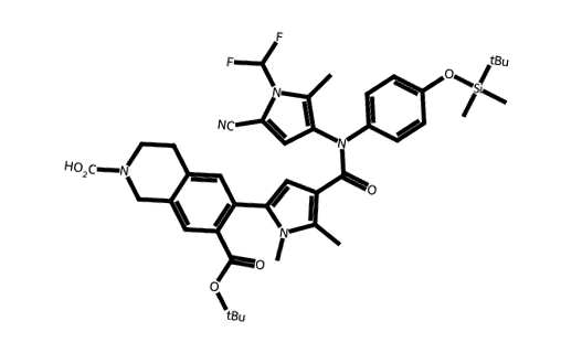 Cc1c(C(=O)N(c2ccc(O[Si](C)(C)C(C)(C)C)cc2)c2cc(C#N)n(C(F)F)c2C)cc(-c2cc3c(cc2C(=O)OC(C)(C)C)CN(C(=O)O)CC3)n1C